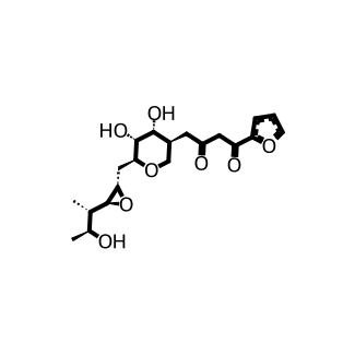 C[C@H]([C@@H]1O[C@H]1C[C@@H]1OC[C@H](CC(=O)CC(=O)c2ccco2)[C@@H](O)[C@H]1O)[C@H](C)O